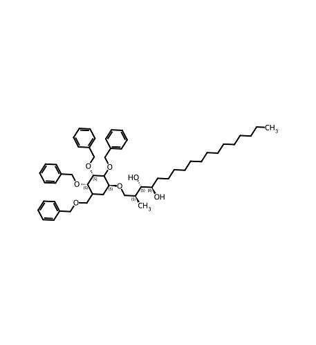 CCCCCCCCCCCCCC[C@@H](O)[C@@H](O)[C@@H](C)CO[C@H]1CC(COCc2ccccc2)[C@H](OCc2ccccc2)[C@H](OCc2ccccc2)C1OCc1ccccc1